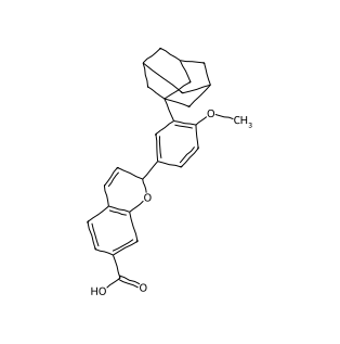 COc1ccc(C2C=Cc3ccc(C(=O)O)cc3O2)cc1C12CC3CC(CC(C3)C1)C2